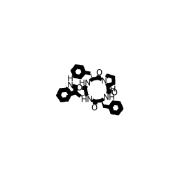 O=C1N[C@H](Cc2c[nH]c3ccccc23)C(=O)N[C@H](Cc2ccccc2)C(=O)N2CCC[C@@H]2C(=O)N[C@H]1Cc1ccccc1